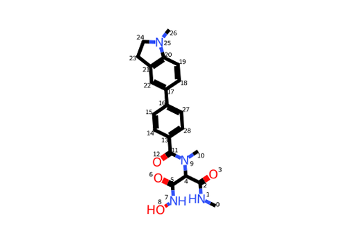 CNC(=O)C(C(=O)NO)N(C)C(=O)c1ccc(-c2ccc3c(c2)CCN3C)cc1